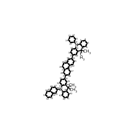 CC1(C)c2ccccc2N(c2ccccc2)c2ccc(-c3ccc4c(ccc5cc(-c6ccc7c(c6)C(C)(C)c6ccccc6N7c6ccc7ccccc7c6)ccc54)c3)cc21